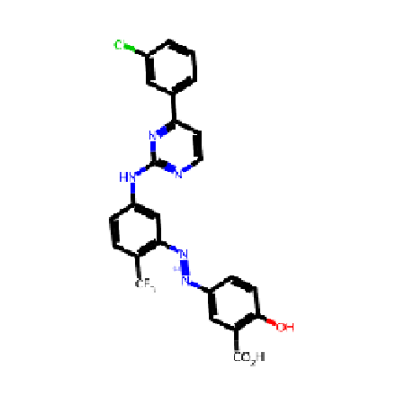 O=C(O)c1cc(/N=N/c2cc(Nc3nccc(-c4cccc(Cl)c4)n3)ccc2C(F)(F)F)ccc1O